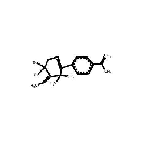 C=C(C)c1ccc(C2=CCC(CC)(CC)/C(=C\C)C2(C)N)cc1